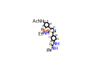 CCNS(=O)(=O)c1cc(NC(C)=O)ccc1-c1cnc(-c2ccc(NC(=S)NC(C)C)cc2)s1